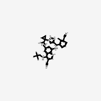 Cc1c(C#N)cccc1[C@H](Nc1cc(Cl)cc2c(NCC(C)(C)C)c(C#N)cnc12)c1cn(C2(C(F)F)CC2)nn1